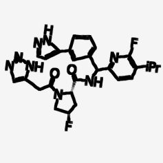 CC(C)c1ccc(C(NC(=O)[C@@H]2C[C@@H](F)CN2C(=O)Cc2cnn[nH]2)c2cccc(-c3ccn[nH]3)c2)nc1F